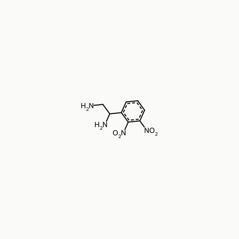 NCC(N)c1cccc([N+](=O)[O-])c1[N+](=O)[O-]